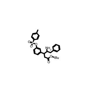 Cc1ccc(S(=O)(=O)Oc2cccc(C(CC(=O)OC(C)(C)C)C(N)Cc3ccccc3)c2)cc1